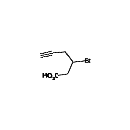 C#CCC(CC)CC(=O)O